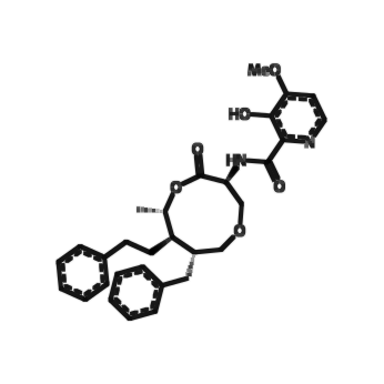 COc1ccnc(C(=O)N[C@H]2COC[C@H](Cc3ccccc3)[C@@H](CCc3ccccc3)[C@H](C)OC2=O)c1O